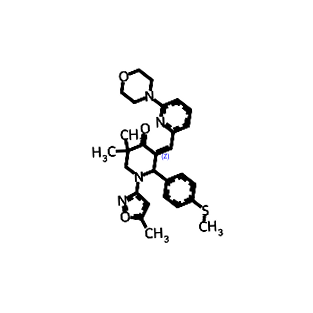 CSc1ccc(C2/C(=C/c3cccc(N4CCOCC4)n3)C(=O)C(C)(C)CN2c2cc(C)on2)cc1